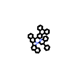 c1ccc(-c2cc(-n3c4c(-c5ccc6c7ccccc7c7ccccc7c6c5)c5ccccc5cc4c4ccc5ccccc5c43)nc3ccccc23)cc1